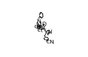 CCS(=O)(=O)N1CCN(Cc2ccccc2)C[C@@H]1C(=O)NCCc1cncn1Cc1ccc(C#N)cc1